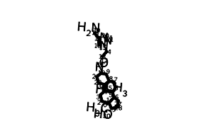 CC12CC[C@H]3C(CCC4CC(=NOCCn5cc(CN)nn5)CCC43C)C1CCC2O